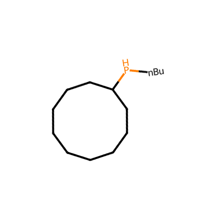 CCCCPC1CCCCCCCCC1